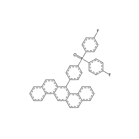 O=P(c1ccc(F)cc1)(c1ccc(F)cc1)c1ccc(-c2c3ccc4ccccc4c3cc3ccc4ccccc4c23)cc1